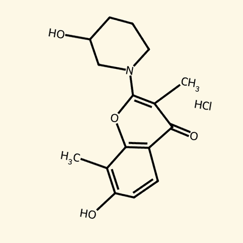 Cc1c(N2CCCC(O)C2)oc2c(C)c(O)ccc2c1=O.Cl